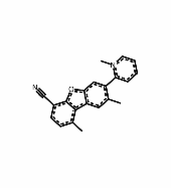 Cc1cc2c(cc1-c1cccc[n+]1C)oc1c(C#N)ccc(C)c12